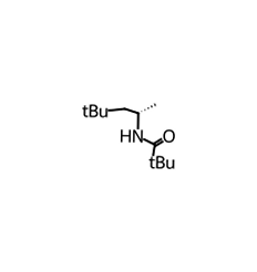 C[C@@H](CC(C)(C)C)NC(=O)C(C)(C)C